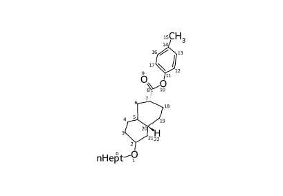 CCCCCCCOC1CCC2C[C@H](C(=O)Oc3ccc(C)cc3)CC[C@@H]2C1